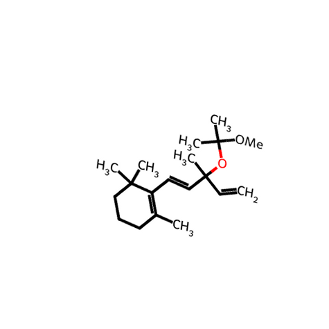 C=CC(C)(/C=C/C1=C(C)CCCC1(C)C)OC(C)(C)OC